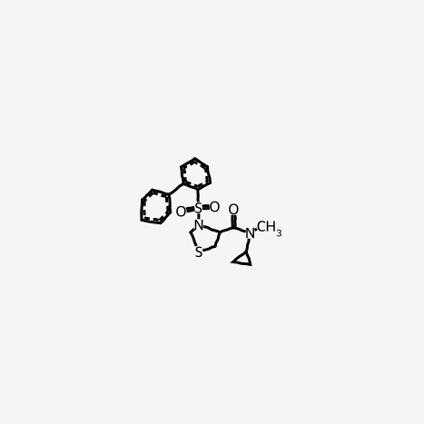 CN(C(=O)C1CSCN1S(=O)(=O)c1ccccc1-c1ccccc1)C1CC1